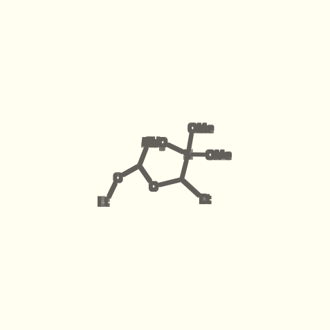 CCOC(C)OC(CC)[Si](OC)(OC)OC